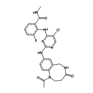 CNC(=O)c1cccc(F)c1Nc1nc(Nc2ccc3c(c2)CNC(=O)CCN3C(C)=O)ncc1Cl